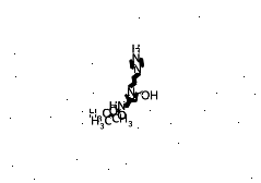 CC(C)(C)OC(=O)NCC1C[C@@H](CO)N(CCCCN2CCNCC2)C1